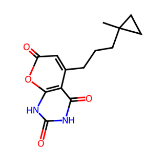 CC1(CCCc2cc(=O)oc3[nH]c(=O)[nH]c(=O)c23)CC1